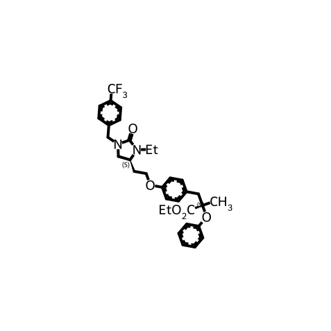 CCOC(=O)[C@](C)(Cc1ccc(OCC[C@H]2CN(Cc3ccc(C(F)(F)F)cc3)C(=O)N2CC)cc1)Oc1ccccc1